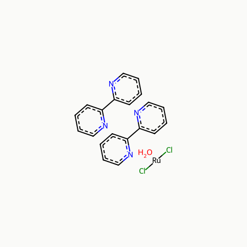 O.[Cl][Ru][Cl].c1ccc(-c2ccccn2)nc1.c1ccc(-c2ccccn2)nc1